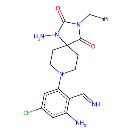 CC(C)CN1C(=O)N(N)C2(CCN(c3cc(Cl)cc(N)c3C=N)CC2)C1=O